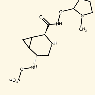 CN1CCCC1ONC(=O)[C@H]1NC[C@H](NOS(=O)(=O)O)C2CC21